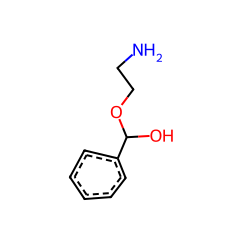 NCCOC(O)c1ccccc1